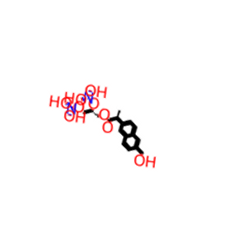 C[C@H](C(=O)OC[C@H](CON(O)O)ON(O)O)c1ccc2cc(CO)ccc2c1